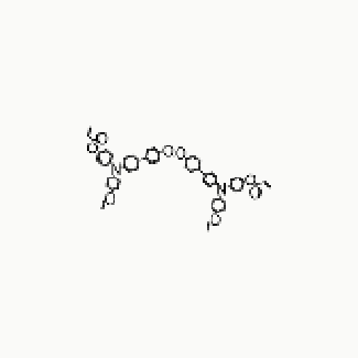 C=COc1ccc(N(c2ccc(OC(=O)C=C)cc2)c2ccc(-c3ccc(OCOc4ccc(-c5ccc(N(c6ccc(OC=C)cc6)c6ccc(OC(=O)C=C)cc6)cc5)cc4)cc3)cc2)cc1